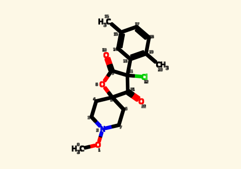 CON1CCC2(CC1)OC(=O)C(Cl)(c1cc(C)ccc1C)C2=O